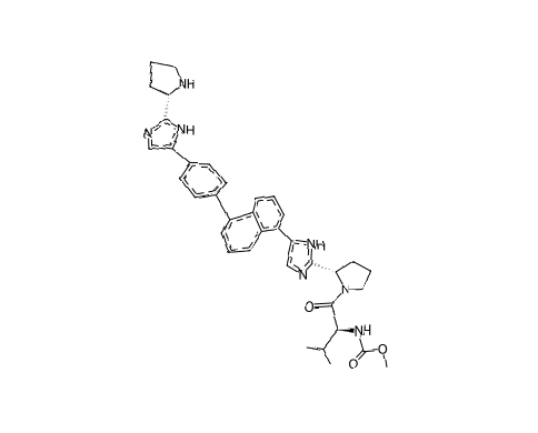 COC(=O)N[C@H](C(=O)N1CCC[C@H]1c1ncc(-c2cccc3c(-c4ccc(-c5cnc([C@@H]6CCCN6)[nH]5)cc4)cccc23)[nH]1)C(C)C